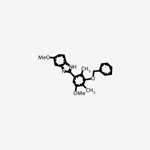 COc1ccc2[nH]c(-c3cc(OC)c(C)c(OCc4ccccc4)c3C)nc2c1